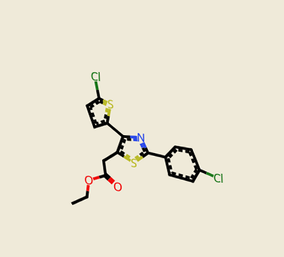 CCOC(=O)Cc1sc(-c2ccc(Cl)cc2)nc1-c1ccc(Cl)s1